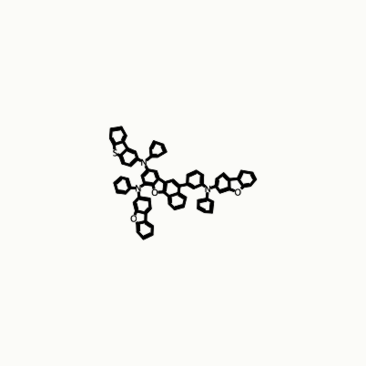 c1ccc(N(c2cccc(-c3cc4c5cc(N(c6ccccc6)c6ccc7sc8ccccc8c7c6)cc(N(c6ccccc6)c6ccc7c(c6)oc6ccccc67)c5oc4c4ccccc34)c2)c2ccc3c(c2)oc2ccccc23)cc1